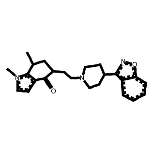 CC1CC(CCN2CCC(c3noc4ccccc34)CC2)C(=O)c2ccn(C)c21